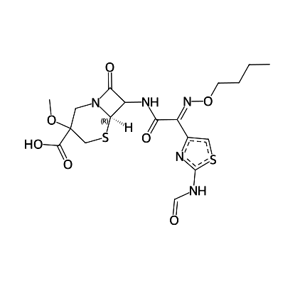 CCCCON=C(C(=O)NC1C(=O)N2CC(OC)(C(=O)O)CS[C@H]12)c1csc(NC=O)n1